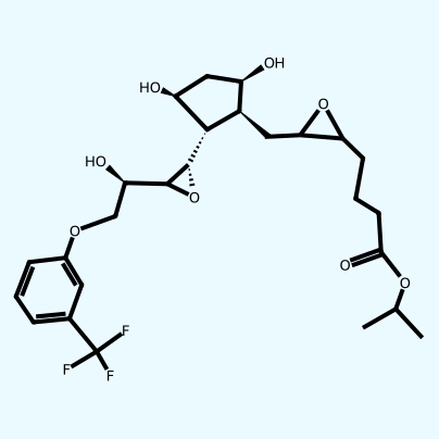 CC(C)OC(=O)CCCC1OC1C[C@H]1[C@H]([C@@H]2OC2[C@H](O)COc2cccc(C(F)(F)F)c2)[C@@H](O)C[C@H]1O